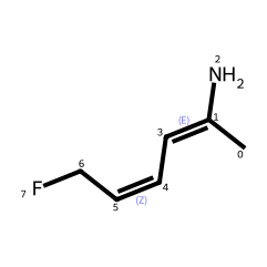 C/C(N)=C\C=C/CF